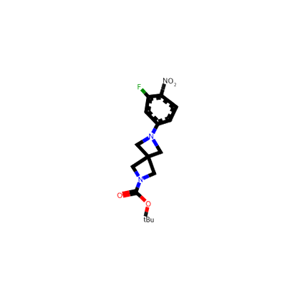 CC(C)(C)OC(=O)N1CC2(C1)CN(c1ccc([N+](=O)[O-])c(F)c1)C2